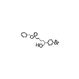 O=C(/C=C/CCC(CO)c1ccc(Br)cc1)OCc1ccccc1